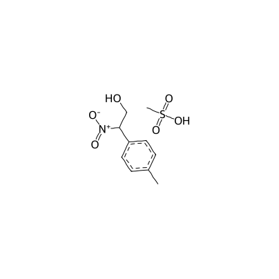 CS(=O)(=O)O.Cc1ccc(C(CO)[N+](=O)[O-])cc1